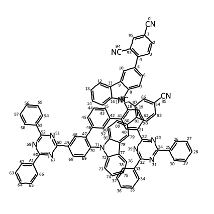 N#Cc1ccc(-c2ccc3c(c2)c2ccccc2n3-c2ccc(-c3nc(-c4ccccc4)nc(-c4ccccc4)n3)cc2-c2cccc(-c3cc(-c4nc(-c5ccccc5)nc(-c5ccccc5)n4)ccc3-n3c4ccccc4c4cc(-c5ccc(C#N)cc5C#N)ccc43)c2)c(C#N)c1